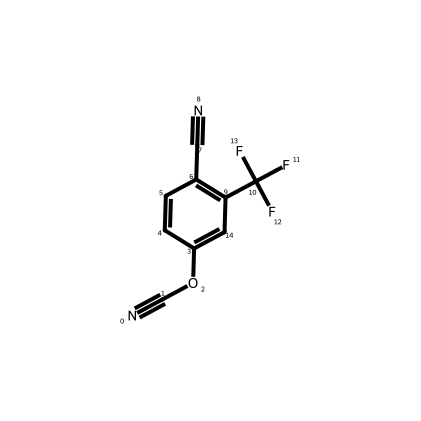 N#COc1ccc(C#N)c(C(F)(F)F)c1